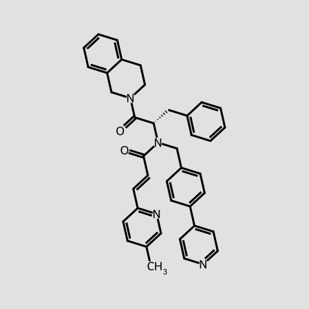 Cc1ccc(C=CC(=O)N(Cc2ccc(-c3ccncc3)cc2)[C@@H](Cc2ccccc2)C(=O)N2CCc3ccccc3C2)nc1